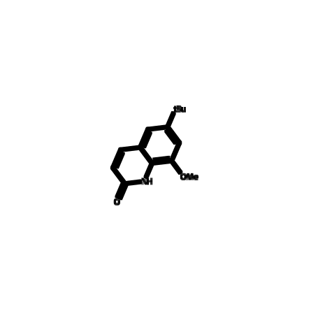 COc1cc(C(C)(C)C)cc2ccc(=O)[nH]c12